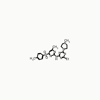 CCc1nc(Nc2nc(C)cc(S(=O)(=O)c3ccc(C)cc3)n2)nc(N2CCN(C)CC2)n1